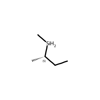 CC[C@H](C)[SiH2]C